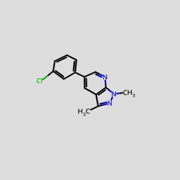 Cc1nn(C)c2ncc(-c3cccc(Cl)c3)cc12